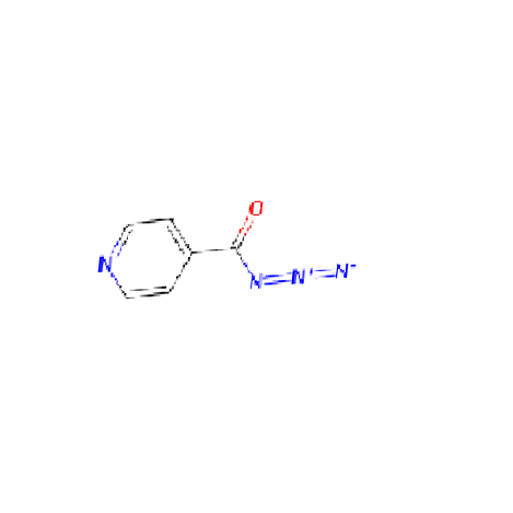 [N-]=[N+]=NC(=O)c1ccncc1